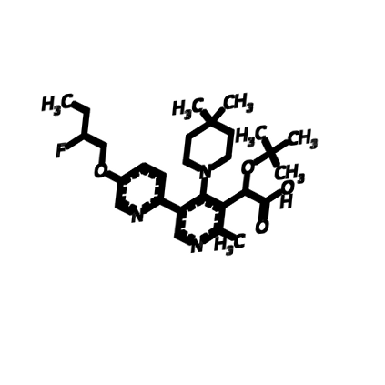 CCC(F)COc1ccc(-c2cnc(C)c(C(OC(C)(C)C)C(=O)O)c2N2CCC(C)(C)CC2)nc1